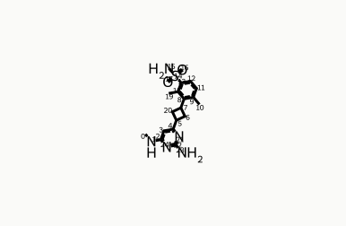 CNc1cc(C2CC(c3c(C)ccc(S(N)(=O)=O)c3C)C2)nc(N)n1